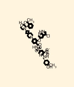 CC(C)c1ccccc1[C@H]1COCCN1C1CC2(CCN(c3ccc(C(=O)NS(=O)(=O)c4cnc(NC[C@H]5CC[C@](C)(O)CC5)c([N+](=O)[O-])c4)c(Oc4cnc5[nH]cc(Cl)c5c4)c3)CC2)C1